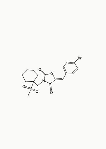 CS(=O)(=O)C1(CN2C(=O)SC(=Cc3ccc(Br)cc3)C2=O)CCCCC1